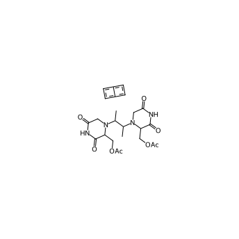 CC(=O)OCC1C(=O)NC(=O)CN1C(C)C(C)N1CC(=O)NC(=O)C1COC(C)=O.c1cc2ccc1-2